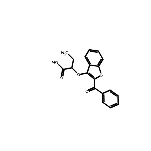 CCC(Oc1c(C(=O)c2ccccc2)sc2ccccc12)C(=O)O